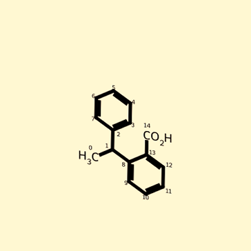 CC(c1ccccc1)c1ccccc1C(=O)O